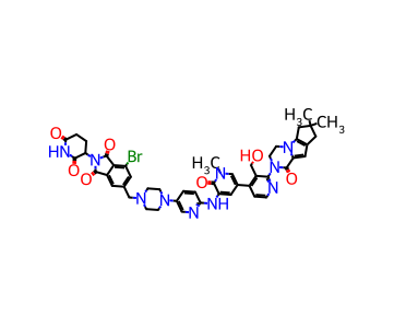 Cn1cc(-c2ccnc(N3CCn4c(cc5c4CC(C)(C)C5)C3=O)c2CO)cc(Nc2ccc(N3CCN(Cc4cc(Br)c5c(c4)C(=O)N(C4CCC(=O)NC4=O)C5=O)CC3)cn2)c1=O